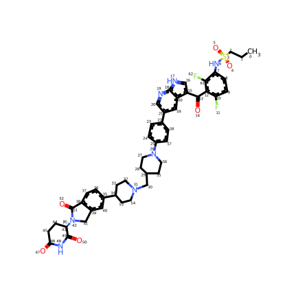 CCCS(=O)(=O)Nc1ccc(F)c(C(=O)c2c[nH]c3ncc(-c4ccc(N5CCC(CN6CCC(c7ccc8c(c7)CN([C@@H]7CCC(=O)NC7=O)C8=O)CC6)CC5)cc4)cc23)c1F